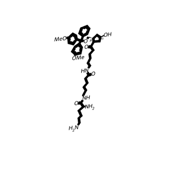 COc1ccc(C(OC[C@@H]2C[C@@H](O)CC2C(=O)CCCCCNC(=O)CCCCCNC(=O)[C@@H](N)CCCCN)(c2ccccc2)c2ccc(OC)cc2)cc1